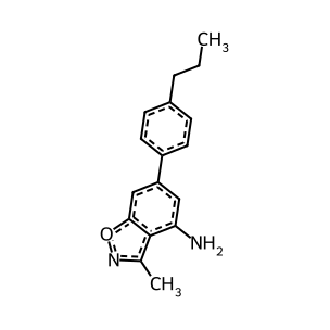 CCCc1ccc(-c2cc(N)c3c(C)noc3c2)cc1